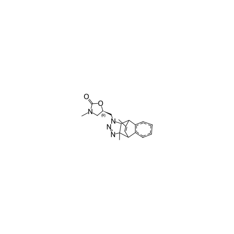 CC1=CC2c3ccccc3C1C1N(C[C@H]3CN(C)C(=O)O3)N=NC21C